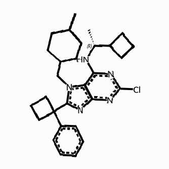 CC1CCC(Cn2c(C3(c4ccccc4)CCC3)nc3nc(Cl)nc(N[C@H](C)C4CCC4)c32)CC1